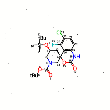 CC(C)(C)OC(=O)N1C[C@@H](O[Si](C)(C)C(C)(C)C)C[C@]2(C1)OC(=O)Nc1ccc(Cl)c(F)c12